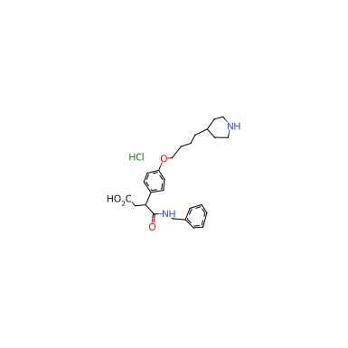 Cl.O=C(O)CC(C(=O)NCc1ccccc1)c1ccc(OCCCCC2CCNCC2)cc1